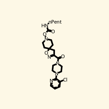 CCCCCNC(=O)ON1CCC2(CC1)CC(C(=O)N1CCN(c3ncccc3Cl)CC1)=NO2